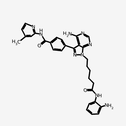 Cc1ccnc(NC(=O)c2ccc(-c3nn(CCCCCC(=O)Nc4ccccc4N)c4ncnc(N)c34)cc2)c1